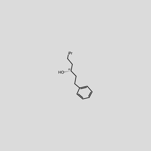 CC(C)CC[C@@H](O)CCc1ccccc1